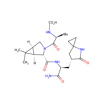 CC(C)(C)[C@H](NC(=O)O)C(=O)N1C[C@H]2[C@@H]([C@H]1C(=O)N[C@@H](C[C@@H]1CC3(CC3)NC1=O)C(N)=O)C2(C)C